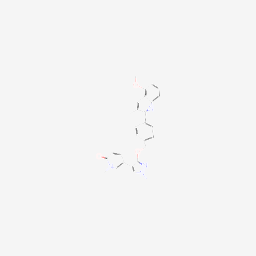 COc1cccc2nc(-c3ccc(COc4nn(C)cc4-c4ccc(=O)n(C)c4)cc3)c(C)cc12